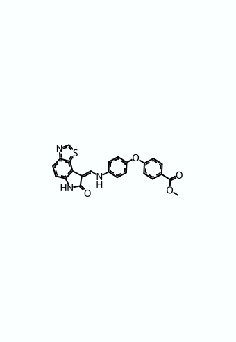 COC(=O)c1ccc(Oc2ccc(NC=C3C(=O)Nc4ccc5ncsc5c43)cc2)cc1